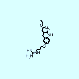 CCOC(=O)CC1Cc2cc(OCCCNC(=N)N)ccc2NC1=O